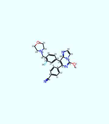 COc1nc(-c2ccc(C#N)cc2)c(-c2ccc(CN3CCOCC3)c(F)c2)c2nccn12